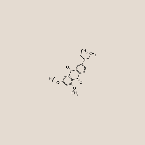 CCN(CC)c1ccc2c(c1)C(=O)c1cc(OC)cc(OC)c1C2=O